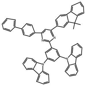 CC1(C)c2ccccc2-c2ccc(-c3cc(-c4ccc(-c5ccccc5)cc4)nc(-c4cc(-n5c6ccccc6c6ccccc65)cc(-n5c6ccccc6c6ccccc65)c4)n3)cc21